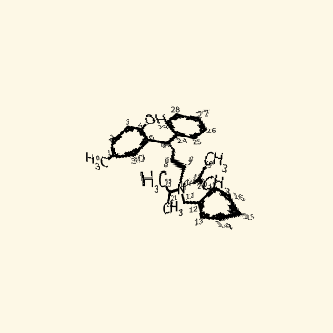 Cc1ccc(O)c([C@H](CC[N+](Cc2ccccc2)(C(C)C)C(C)C)c2ccccc2)c1